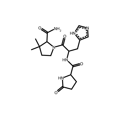 CC1(C)CCN(C(=O)C(Cc2cnc[nH]2)NC(=O)C2CCC(=O)N2)C1C(N)=O